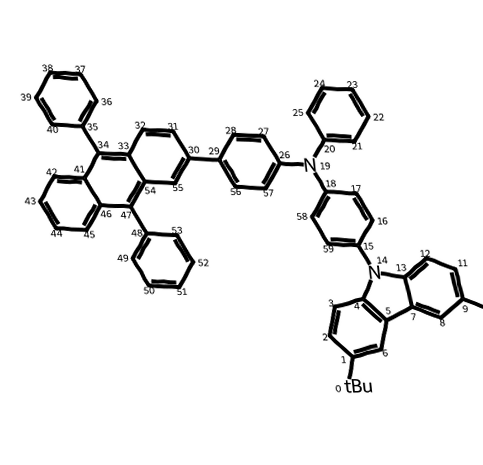 CC(C)(C)c1ccc2c(c1)c1cc(C(C)(C)C)ccc1n2-c1ccc(N(c2ccccc2)c2ccc(-c3ccc4c(-c5ccccc5)c5ccccc5c(-c5ccccc5)c4c3)cc2)cc1